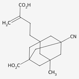 C=C(CCC12CC3(C)CC(C#N)(C1)CC(C(=O)O)(C3)C2)C(=O)O